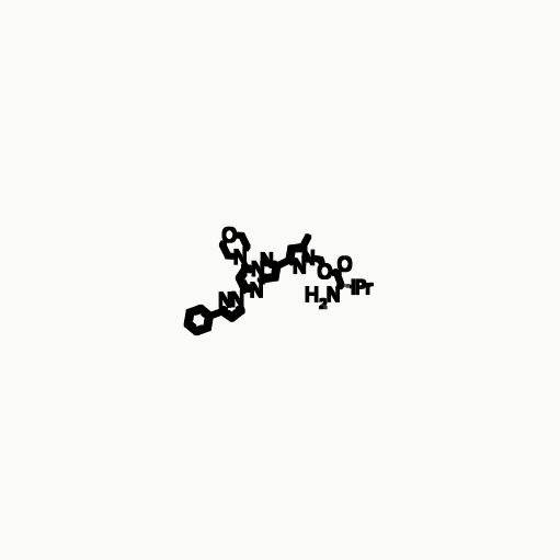 Cc1cc(-c2cc3nc(-n4ccc(-c5ccccc5)n4)cc(N4CCOCC4)n3n2)nn1COC(=O)[C@@H](N)C(C)C